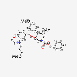 COCCCN1CCOc2ccc(COC3CN(C(=O)OCc4ccccc4)CC(OC(C)=O)C3c3ccc(OC)cc3)cc21